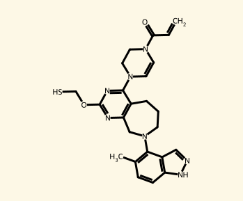 C=CC(=O)N1C=CN(c2nc(OCS)nc3c2CCCN(c2c(C)ccc4[nH]ncc24)C3)CC1